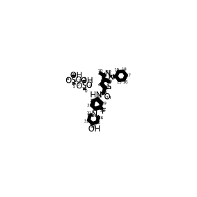 CS(=O)(=O)O.CS(=O)(=O)O.Cc1nn(C2CCCCC2)c2sc(C(=O)Nc3ccc(N4CCC(O)CC4)c(F)c3)cc12